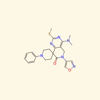 CSc1nc(N(C)C)c2c(n1)C1(CCN(c3ccccc3)CC1)C(=O)N(c1cnoc1)C2